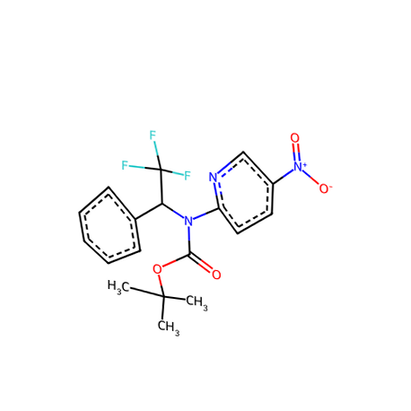 CC(C)(C)OC(=O)N(c1ccc([N+](=O)[O-])cn1)C(c1ccccc1)C(F)(F)F